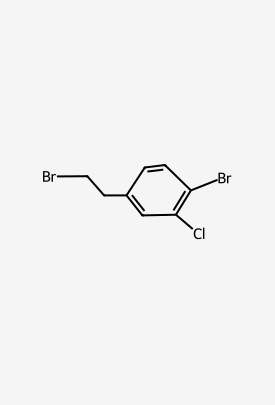 Clc1cc(CCBr)ccc1Br